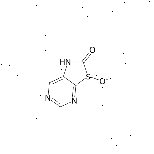 O=c1[nH]c2cncnc2[s+]1[O-]